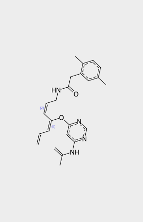 C=C/C=C(\C=C/CNC(=O)Cc1cc(C)ccc1C)Oc1cc(NC(=C)C)ncn1